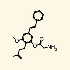 C=C(C)CCc1c(OC)cc(/C=C/c2ccccc2)cc1OC(=O)CN